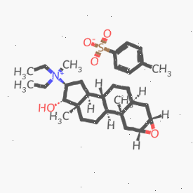 CC[N+](C)(CC)[C@H]1C[C@H]2[C@@H]3CC[C@H]4C[C@@H]5O[C@@H]5C[C@]4(C)[C@H]3CC[C@]2(C)[C@@H]1O.Cc1ccc(S(=O)(=O)[O-])cc1